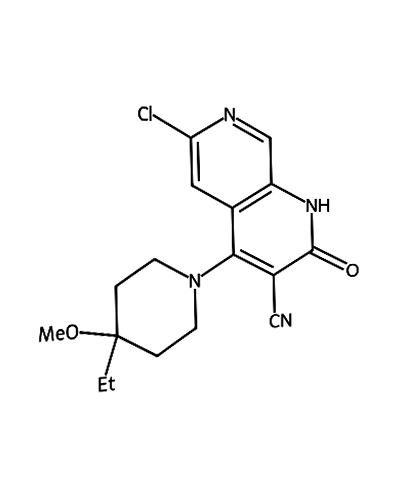 CCC1(OC)CCN(c2c(C#N)c(=O)[nH]c3cnc(Cl)cc23)CC1